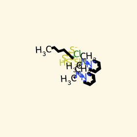 CCCCC([S-])([S-])C(S)(S)Cl.CN(C)[n+]1ccccc1.CN(C)[n+]1ccccc1